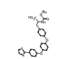 CC(C)(C)OC(=O)NC(Cc1ccc(Oc2ccc(Oc3ccc(-c4nccs4)cc3)cc2)cc1)C(=O)O